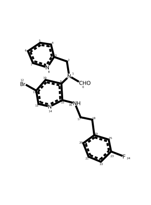 O=CN(Cc1ccccn1)c1cc(Br)cnc1NCCc1cccc(F)c1